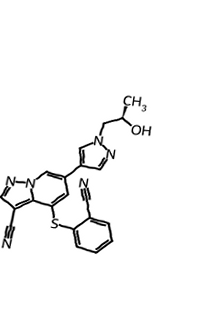 C[C@@H](O)Cn1cc(-c2cc(Sc3ccccc3C#N)c3c(C#N)cnn3c2)cn1